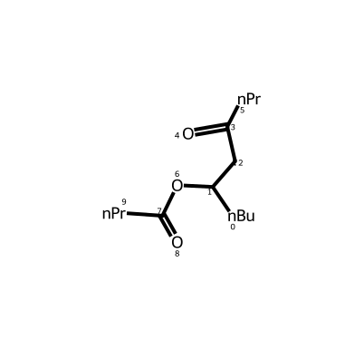 CCCCC([CH]C(=O)CCC)OC(=O)CCC